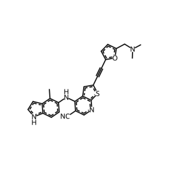 Cc1c(Nc2c(C#N)cnc3sc(C#Cc4ccc(CN(C)C)o4)cc23)ccc2[nH]ccc12